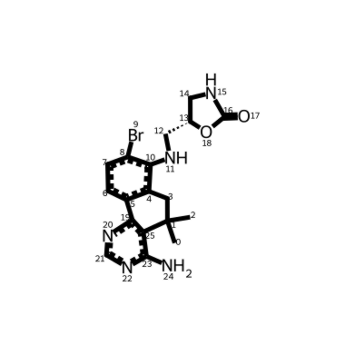 CC1(C)Cc2c(ccc(Br)c2NC[C@@H]2CNC(=O)O2)-c2ncnc(N)c21